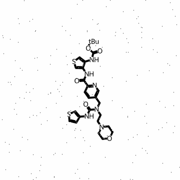 CC(C)(C)OC(=O)Nc1cscc1NC(=O)c1ccc(CN(CCN2CCOCC2)C(=O)Nc2ccsc2)cn1